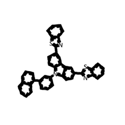 c1cc(-c2cccc3ccccc23)cc(-n2c3ccc(-c4nc5ccccc5s4)cc3c3cc(-c4nc5ccccc5s4)ccc32)c1